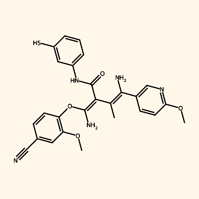 COc1ccc(/C(N)=C(C)/C(C(=O)Nc2cccc(S)c2)=C(\N)Oc2ccc(C#N)cc2OC)cn1